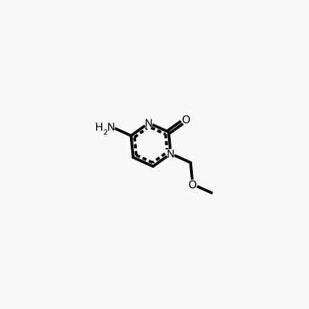 COCn1ccc(N)nc1=O